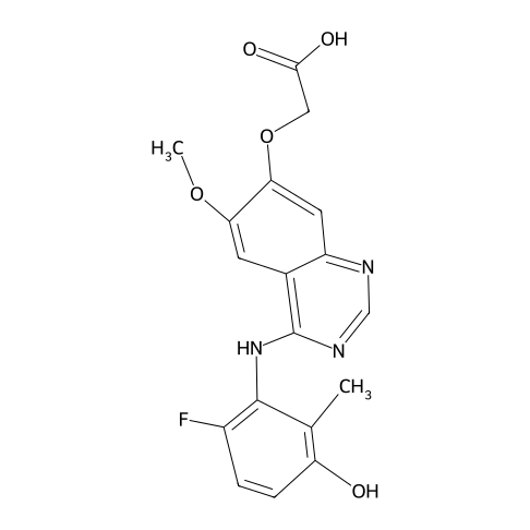 COc1cc2c(Nc3c(F)ccc(O)c3C)ncnc2cc1OCC(=O)O